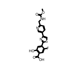 COC(=O)NCc1ccc(-c2csc(-c3cc(O)c(C(=O)O)cc3F)n2)cn1